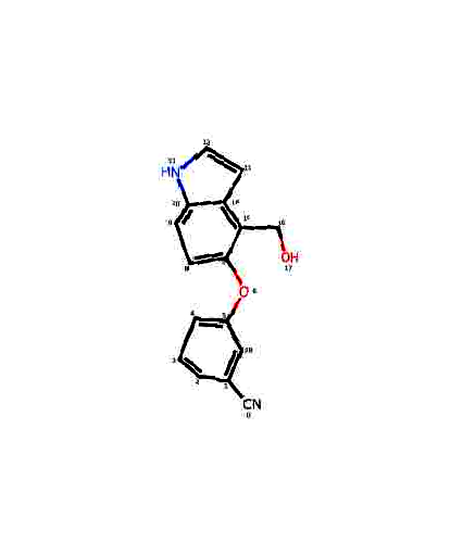 N#Cc1cccc(Oc2ccc3[nH]ccc3c2CO)c1